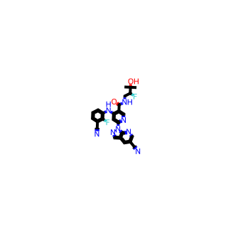 CC(C)(O)C(F)CNC(=O)c1cnc(-n2ncc3cc(C#N)cnc32)cc1Nc1cccc(C#N)c1F